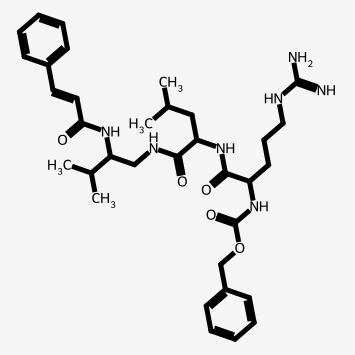 CC(C)CC(NC(=O)C(CCCNC(=N)N)NC(=O)OCc1ccccc1)C(=O)NCC(NC(=O)/C=C/c1ccccc1)C(C)C